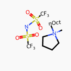 CCCCCCCC[N+]1(C)CCCC1.O=S(=O)([N-]S(=O)(=O)C(F)(F)F)C(F)(F)F